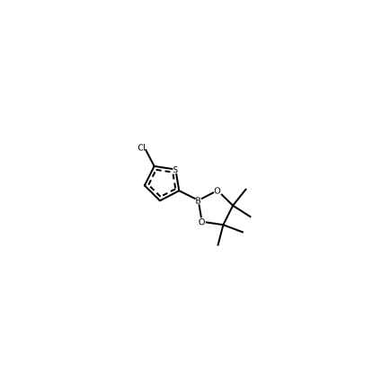 CC1(C)OB(c2ccc(Cl)s2)OC1(C)C